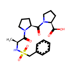 C[C@H](NS(=O)(=O)Cc1ccccc1)C(=O)N1CCC[C@H]1C(=O)N1CCC[C@H]1C(=O)O